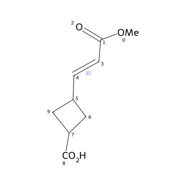 COC(=O)/C=C/C1CC(C(=O)O)C1